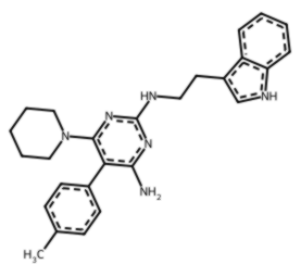 Cc1ccc(-c2c(N)nc(NCCc3c[nH]c4ccccc34)nc2N2CCCCC2)cc1